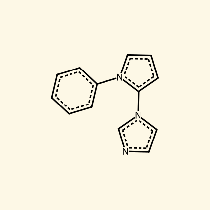 c1ccc(-n2cccc2-n2ccnc2)cc1